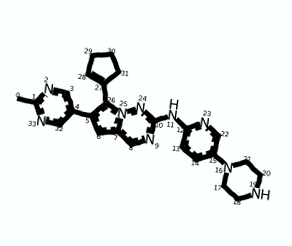 Cc1ncc(-c2cc3cnc(Nc4ccc(N5CCNCC5)cn4)nn3c2C2=CCCC2)cn1